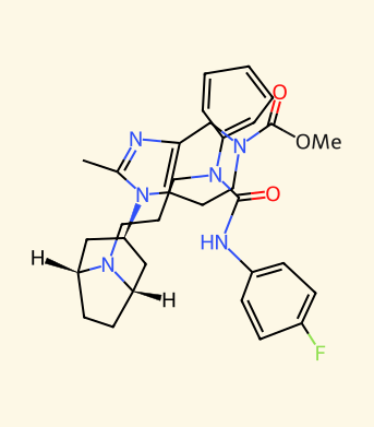 COC(=O)N1CCc2c(nc(C)n2[C@@H]2C[C@H]3CC[C@@H](C2)N3CCCN(C(=O)Nc2ccc(F)cc2)c2ccccc2)C1